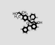 CC(C)(CO)c1ccc(C(CCCO)(OC(c2ccccc2)c2ccccc2)N2CCCCC2)cc1